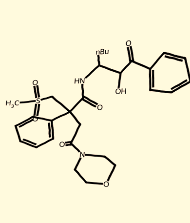 CCCCC(NC(=O)C(CC(=O)N1CCOCC1)(CS(C)(=O)=O)c1ccccc1)C(O)C(=O)c1ccccc1